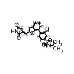 CC(C)NS(=O)(=O)c1ccc(-c2cncc3cc(/C=C4\SC(=O)NC4=O)oc23)c(Cl)c1